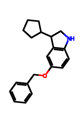 c1ccc(COc2ccc3c(c2)C(C2CCCC2)CN3)cc1